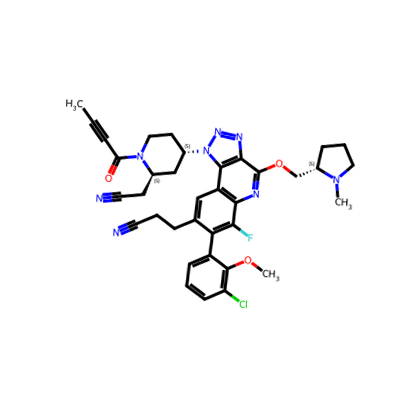 CC#CC(=O)N1CC[C@H](n2nnc3c(OC[C@@H]4CCCN4C)nc4c(F)c(-c5cccc(Cl)c5OC)c(CCC#N)cc4c32)C[C@H]1CC#N